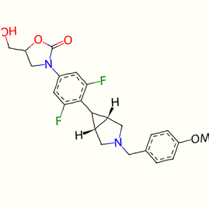 COc1ccc(CN2C[C@@H]3C(c4c(F)cc(N5CC(CO)OC5=O)cc4F)[C@@H]3C2)cc1